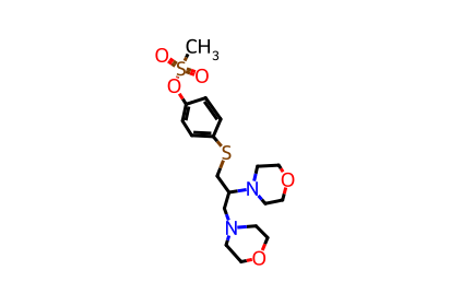 CS(=O)(=O)Oc1ccc(SCC(CN2CCOCC2)N2CCOCC2)cc1